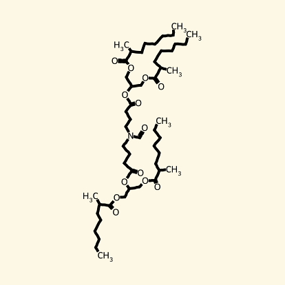 CCCCCCC(C)C(=O)OCC(COC(=O)C(C)CCCCCC)OC(=O)CCCN(C=O)CCCC(=O)OC(COC(=O)C(C)CCCCCC)COC(=O)C(C)CCCCCC